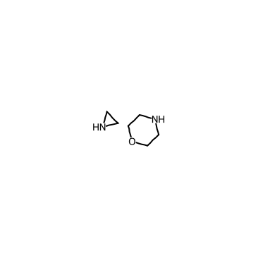 C1CN1.C1COCCN1